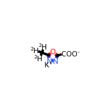 [2H]C([2H])([2H])c1nnc(C(=O)[O-])o1.[K+]